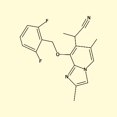 Cc1cn2cc(C)c(C(C)C#N)c(OCc3c(F)cccc3F)c2n1